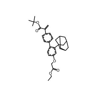 C=C(C(=O)OC(C)(C)C)c1ccc(-c2ccc(OCC(=O)OCC)cc2C23CC4CC(CC(C4)C2)C3)cc1